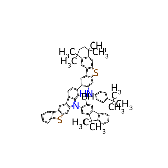 CC(C)(C)c1ccc(Nc2cc3sc4cc5c(cc4c3cc2-c2ccc3c4cc6c(cc4n4c3c2Bc2cc3c(cc2-4)C(C)(C)c2ccccc2-3)sc2ccccc26)C(C)(C)CCC5(C)C)cc1